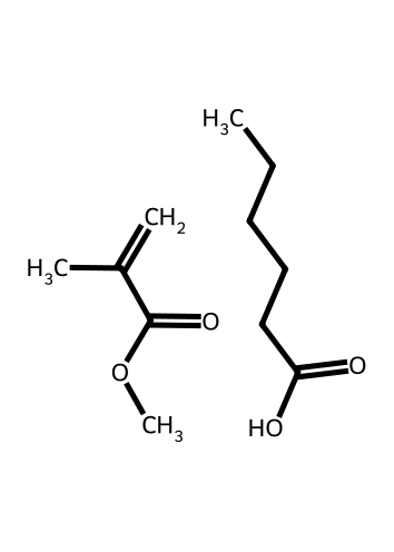 C=C(C)C(=O)OC.CCCCCC(=O)O